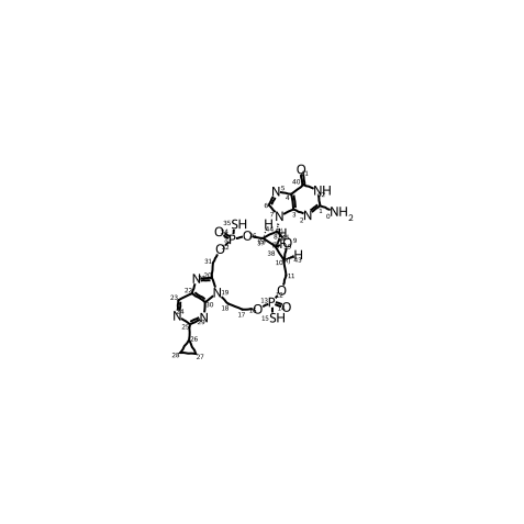 Nc1nc2c(ncn2[C@@H]2O[C@@H]3COP(=O)(S)OCCn4c(nc5cnc(C6CC6)nc54)COP(=O)(S)O[C@@H]2[C@@H]3F)c(=O)[nH]1